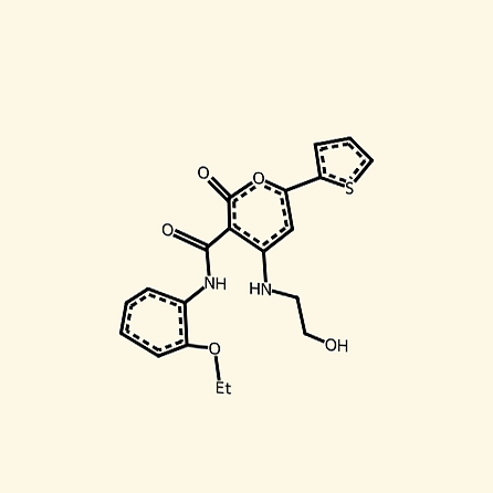 CCOc1ccccc1NC(=O)c1c(NCCO)cc(-c2cccs2)oc1=O